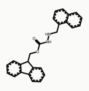 O=C(NNCc1cccc2ccccc12)OCC1c2ccccc2-c2ccccc21